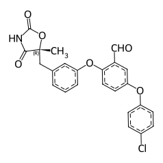 C[C@]1(Cc2cccc(Oc3ccc(Oc4ccc(Cl)cc4)cc3C=O)c2)OC(=O)NC1=O